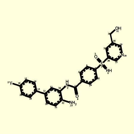 N=S(=O)(c1ccc(C(=O)Nc2cc(-c3ccc(F)cc3)ccc2N)cc1)c1cncc(CO)c1